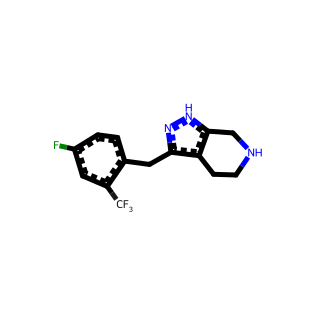 Fc1ccc(Cc2n[nH]c3c2CCNC3)c(C(F)(F)F)c1